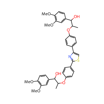 COc1ccc(C(O)C(C)Oc2ccc(-c3csc(-c4ccc(OC(C)C(O)c5ccc(OC)c(OC)c5)cc4)n3)cc2)cc1OC